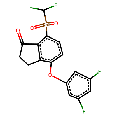 O=C1CCc2c(Oc3cc(F)cc(F)c3)ccc(S(=O)(=O)C(F)F)c21